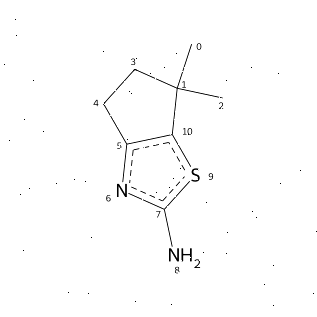 CC1(C)CCc2nc(N)sc21